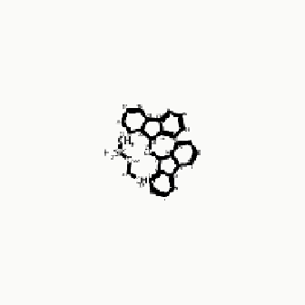 C1=CC2c3ccccc3[CH]([Zr][CH]3c4ccccc4C4C=CCCC43)C2CC1.CCO[SiH2]C